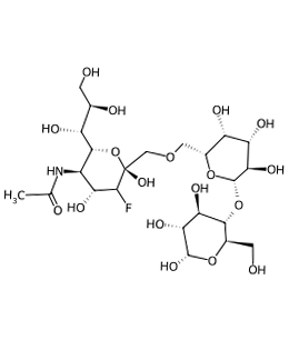 CC(=O)N[C@H]1[C@H]([C@H](O)[C@H](O)CO)O[C@](O)(COC[C@H]2O[C@@H](O[C@H]3[C@H](O)[C@@H](O)[C@@H](O)O[C@@H]3CO)[C@H](O)[C@@H](O)[C@H]2O)C(F)[C@@H]1O